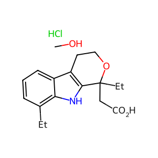 CCc1cccc2c3c([nH]c12)C(CC)(CC(=O)O)OCC3.CO.Cl